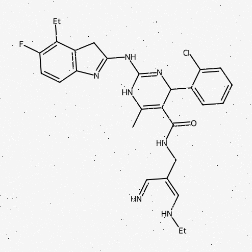 CCN/C=C(\C=N)CNC(=O)C1=C(C)NC(NC2=Nc3ccc(F)c(CC)c3C2)=NC1c1ccccc1Cl